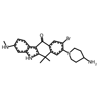 CNc1ccc2c3c([nH]c2c1)C(C)(C)c1cc(N2CCC(N)CC2)c(Br)cc1C3=O